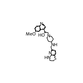 COc1ccc2nccc([C@@H](O)CN3CCC(NCc4ccc5c(n4)NCCS5)CC3)c2c1